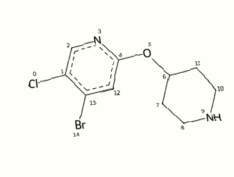 Clc1cnc(OC2CCNCC2)cc1Br